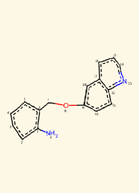 Nc1ccccc1COc1ccc2ncccc2c1